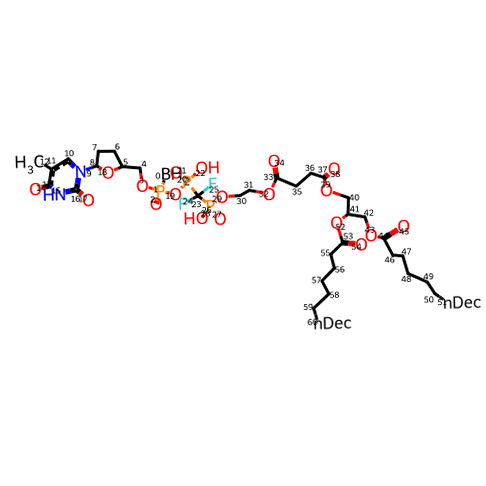 BP(=O)(OCC1CCC(n2cc(C)c(=O)[nH]c2=O)O1)OP(=O)(O)C(F)(F)P(=O)(O)OCCOC(=O)CCC(=O)OCC(COC(=O)CCCCCCCCCCCCCCC)OC(=O)CCCCCCCCCCCCCCC